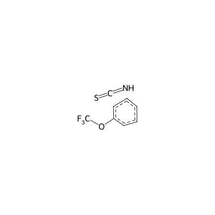 FC(F)(F)Oc1ccccc1.N=C=S